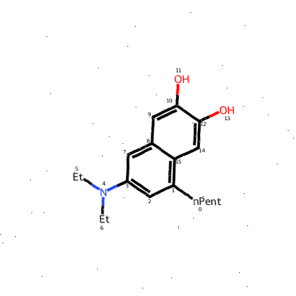 CCCCCc1cc(N(CC)CC)cc2cc(O)c(O)cc12